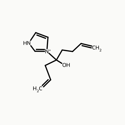 C=CCCC(O)(CC=C)[n+]1cc[nH]c1